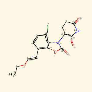 CCO/C=C/c1ccc(F)c2c1oc(=O)n2C1CCC(=O)NC1=O